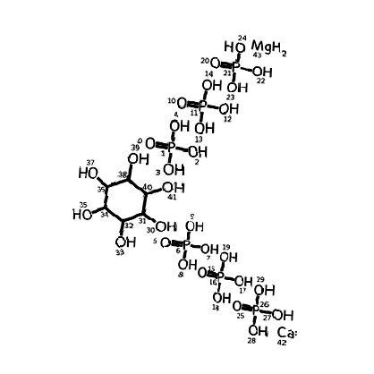 O=P(O)(O)O.O=P(O)(O)O.O=P(O)(O)O.O=P(O)(O)O.O=P(O)(O)O.O=P(O)(O)O.OC1C(O)C(O)C(O)C(O)C1O.[Ca].[MgH2]